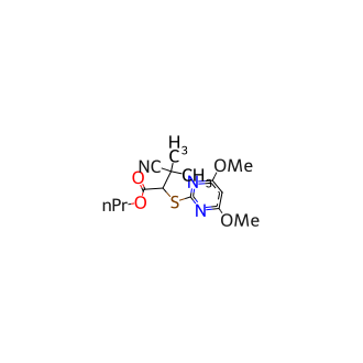 CCCOC(=O)C(Sc1nc(OC)cc(OC)n1)C(C)(C)C#N